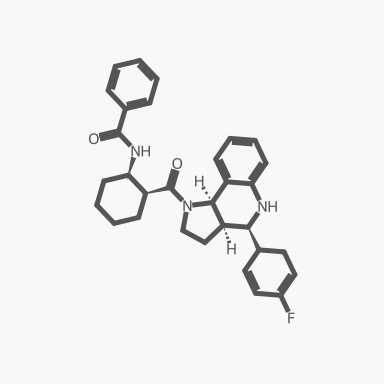 O=C(N[C@@H]1CCCC[C@@H]1C(=O)N1CC[C@@H]2[C@H](C3C=CC(F)=CC3)Nc3ccccc3[C@@H]21)c1ccccc1